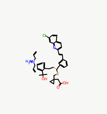 C=CCNCC=C.CC(C)(O)c1ccccc1CC[C@@H](SCC1(CC(=O)O)CC1)c1cccc(/C=C/c2ccc3ccc(Cl)cc3n2)c1.N